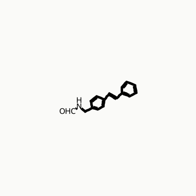 O=CNCc1ccc(C=Cc2ccccc2)cc1